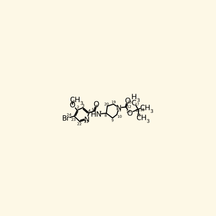 COc1cc(C(=O)NC2CCN(C(=O)OC(C)(C)C)CC2)ncc1Br